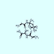 C=CC(=O)NC(C)(C)CS(=O)(=O)O.C=CC(=O)NC(O)C(=O)O